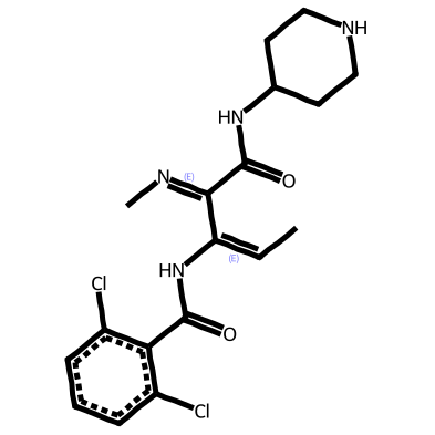 C/C=C(NC(=O)c1c(Cl)cccc1Cl)\C(=N/C)C(=O)NC1CCNCC1